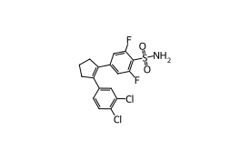 NS(=O)(=O)c1c(F)cc(C2=C(c3ccc(Cl)c(Cl)c3)CCC2)cc1F